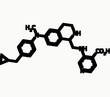 CN(c1ccc(CC2CC2)cc1)c1ccc2c(c1)CCNC2CNc1cnccc1C(=O)O